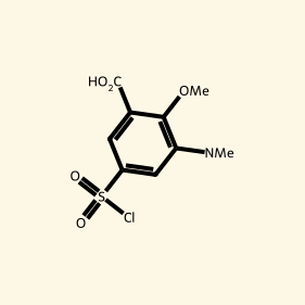 CNc1cc(S(=O)(=O)Cl)cc(C(=O)O)c1OC